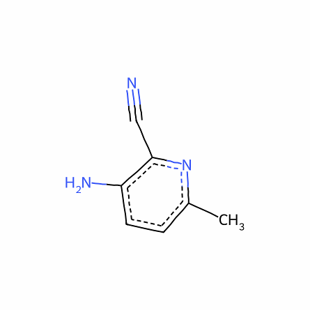 Cc1ccc(N)c(C#N)n1